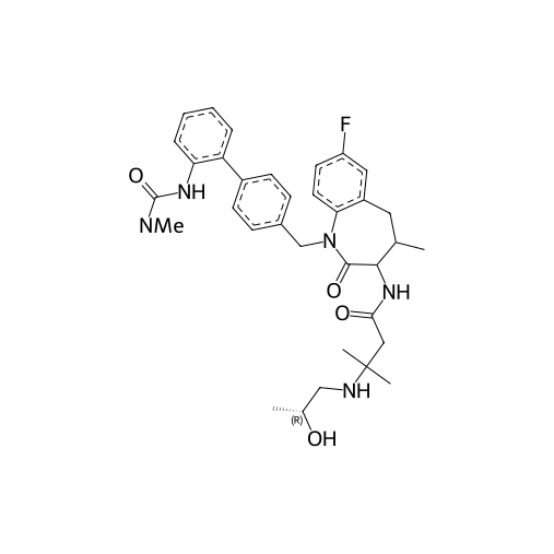 CNC(=O)Nc1ccccc1-c1ccc(CN2C(=O)C(NC(=O)CC(C)(C)NC[C@@H](C)O)C(C)Cc3cc(F)ccc32)cc1